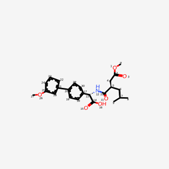 COC(=O)C[C@@H](CC(C)C)C(=O)N[C@H](C(=O)O)c1ccc(-c2cccc(OC)c2)cc1